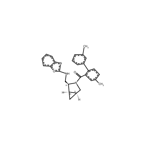 Cc1cccc(-c2ccc(C)cc2C(=O)N2C[C@H]3C[C@H]3[C@H]2CNc2nc3ccccc3o2)c1